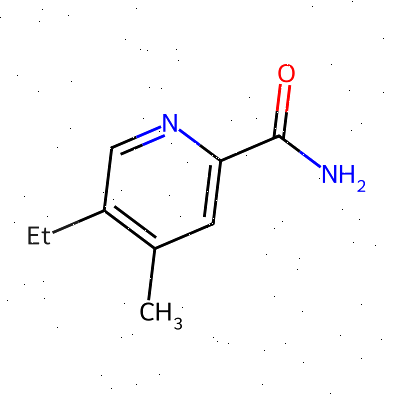 CCc1cnc(C(N)=O)cc1C